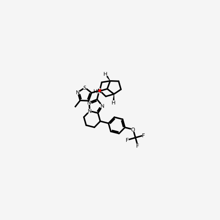 Cc1cc(N2C[C@H]3CC[C@@H](C2)C3Nc2nc3n(n2)CCCC3c2ccc(OC(F)(F)F)cc2)sn1